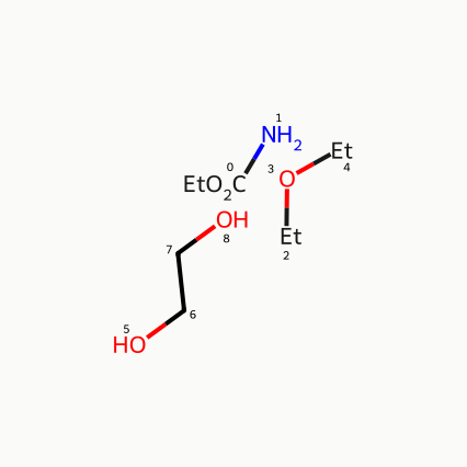 CCOC(N)=O.CCOCC.OCCO